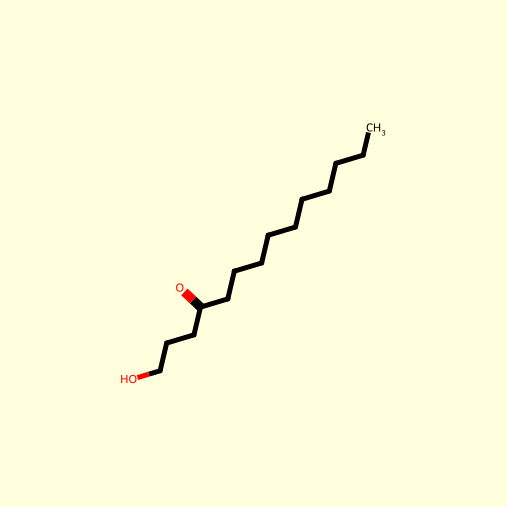 CCCCCCCCCCC(=O)CCCO